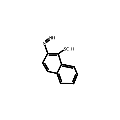 N=Nc1ccc2ccccc2c1S(=O)(=O)O